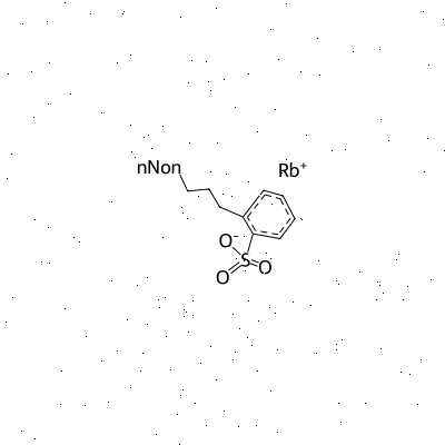 CCCCCCCCCCCCc1ccccc1S(=O)(=O)[O-].[Rb+]